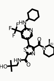 C[C@H]1CCCCN1C(=O)c1nc(C(=O)NCC(C)(C)O)sc1-c1cnc(NC2CCCCC2)c(C(F)(F)F)c1